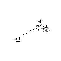 C[N+](C)(C)C[C@@H](CC(=O)[O-])NC(=O)CCCCCCCCCc1cccc(F)c1